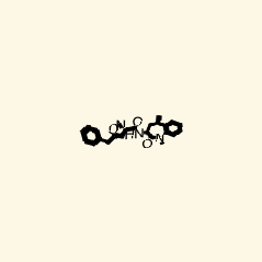 C=C1CC(NC(=O)c2cc(Cc3ccccc3)on2)C(=O)N(C)c2ccccc21